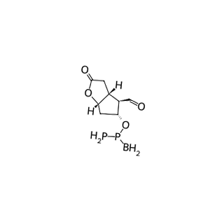 BP(P)O[C@@H]1C[C@@H]2OC(=O)C[C@@H]2[C@H]1C=O